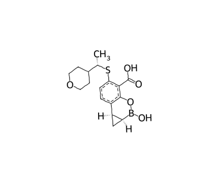 C[C@H](Sc1ccc2c(c1C(=O)O)OB(O)[C@H]1C[C@@H]21)C1CCOCC1